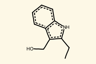 CCc1[nH]c2ccccc2c1CO